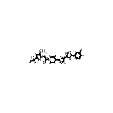 Cc1cc(C(F)(F)F)nn1CC(=O)N1CCC(c2nc(C3=NOC(c4cccc(I)c4)C3)cs2)CC1